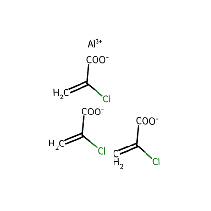 C=C(Cl)C(=O)[O-].C=C(Cl)C(=O)[O-].C=C(Cl)C(=O)[O-].[Al+3]